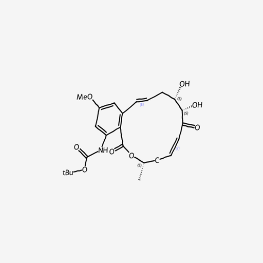 COc1cc2c(c(NC(=O)OC(C)(C)C)c1)C(=O)O[C@@H](C)C/C=C\C(=O)[C@@H](O)[C@@H](O)C/C=C/2